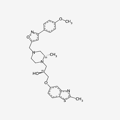 COc1ccc(-c2cc(CN3CCN(C[C@H](O)COc4ccc5sc(C)nc5c4)[C@@H](C)C3)on2)cc1